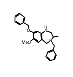 COc1cc2c(cc1OCc1ccccc1)NCC(C)N(Cc1ccccc1)C2